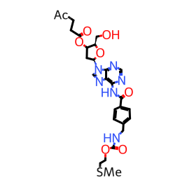 CSCCOC(=O)NCc1ccc(C(=O)Nc2ncnc3c2ncn3[C@H]2CC(OC(=O)CCC(C)=O)[C@@H](CO)O2)cc1